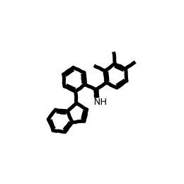 Cc1ccc(C(=N)c2ccccc2C2C=Cc3ccccc32)c(C)c1C